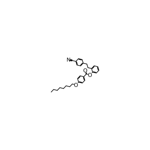 CCCCCCCCOc1ccc(C(=O)Oc2ccccc2CCc2ccc(C#N)cc2)cc1